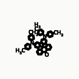 Cc1ccc(N(c2ccc(C)cc2)c2ccc(C3(c4ccc(N(c5ccc(C)cc5)c5ccc(C)cc5)cc4)c4ccccc4C(=O)c4ccccc43)cc2)cc1